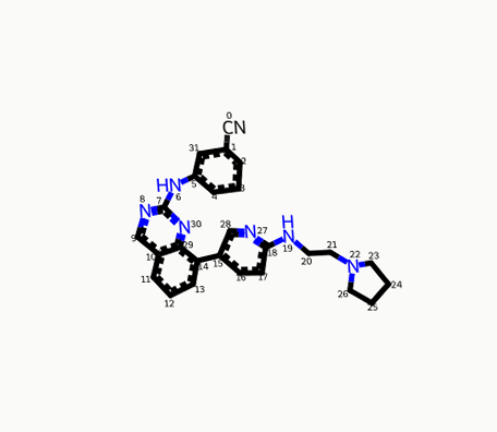 N#Cc1cccc(Nc2ncc3cccc(-c4ccc(NCCN5CCCC5)nc4)c3n2)c1